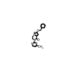 Cc1ccnc(N2CCn3nc(OCc4ccccc4)cc3C2=O)n1